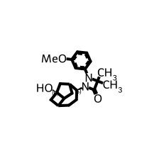 COc1cccc(N2N([C@H]3CCC4C[C@@]5(O)CC3CC45)C(=O)C2(C)C)c1